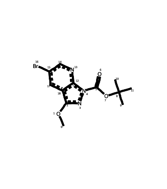 COc1nn(C(=O)OC(C)(C)C)c2ncc(Br)cc12